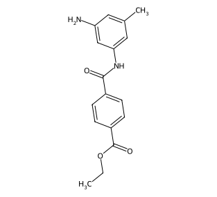 CCOC(=O)c1ccc(C(=O)Nc2cc(C)cc(N)c2)cc1